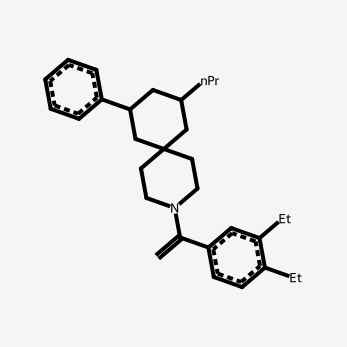 C=C(c1ccc(CC)c(CC)c1)N1CCC2(CC1)CC(CCC)CC(c1ccccc1)C2